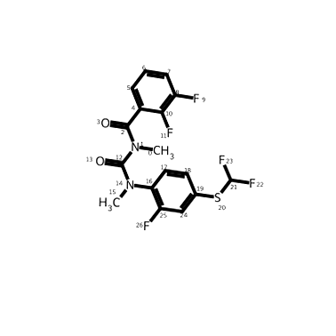 CN(C(=O)c1cccc(F)c1F)C(=O)N(C)c1ccc(SC(F)F)cc1F